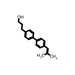 CC(C)=Cc1ccc(-c2ccc(CCCO)cc2)cc1